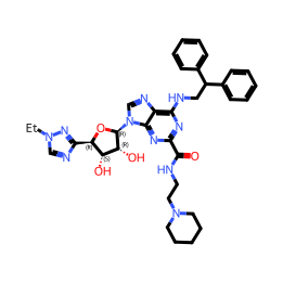 CCn1cnc([C@H]2O[C@@H](n3cnc4c(NCC(c5ccccc5)c5ccccc5)nc(C(=O)NCCN5CCCCC5)nc43)[C@H](O)[C@@H]2O)n1